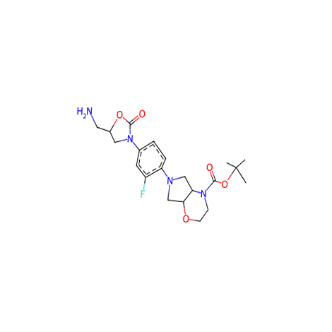 CC(C)(C)OC(=O)N1CCOC2CN(c3ccc(N4CC(CN)OC4=O)cc3F)CC21